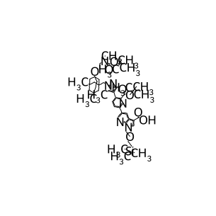 Cc1c(-c2ccc(-c3cnc4c(c3)c(C(=O)O)cn4COCC[Si](C)(C)C)nc2C(=O)OC(C)(C)C)cnn1CC12CC3(C)CC(C)(C1)CC(OCCN(C)C(=O)OC(C)(C)C)(C3)C2